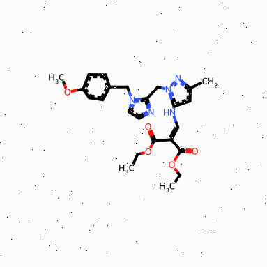 CCOC(=O)C(=CNc1cc(C)nn1Cc1nccn1Cc1ccc(OC)cc1)C(=O)OCC